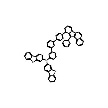 c1ccc(-c2c3c4ccccc4ccc3n3cccc(-c4ccc(-c5cccc(-c6cccc(N(c7ccc8c(c7)oc7ccccc78)c7ccc8c(c7)oc7ccccc78)c6)c5)cc4)c23)cc1